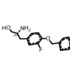 N[C@H](CO)Cc1ccc(OCc2ccccc2)c(F)c1